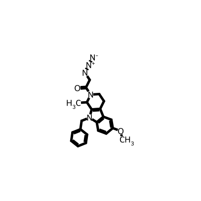 COc1ccc2c(c1)c1c(n2Cc2ccccc2)C(C)N(C(=O)CN=[N+]=[N-])CC1